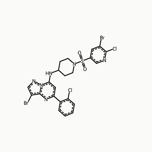 O=S(=O)(c1cnc(Cl)c(Br)c1)N1CCC(Nc2cc(-c3ccccc3Cl)nc3c(Br)cnn23)CC1